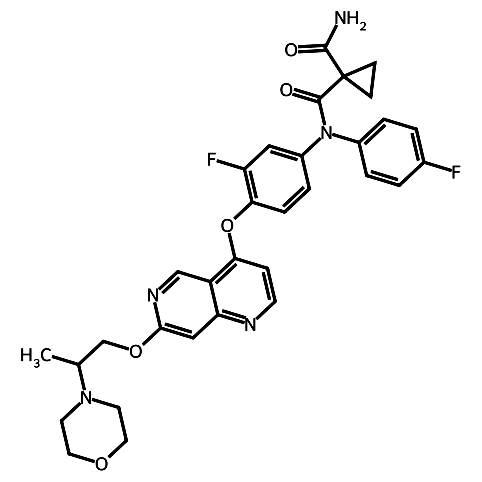 CC(COc1cc2nccc(Oc3ccc(N(C(=O)C4(C(N)=O)CC4)c4ccc(F)cc4)cc3F)c2cn1)N1CCOCC1